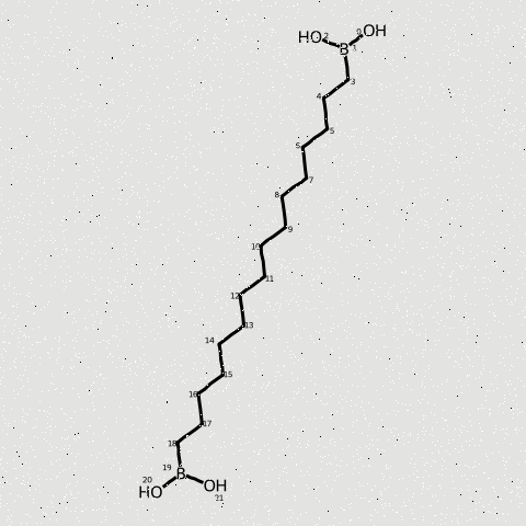 OB(O)CCCCCCCCCCCCCCCCB(O)O